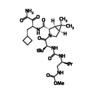 COC(=O)NC[C@@H](NC(=O)N[C@H](C(=O)N1C[C@H]2[C@@H]([C@H]1C(=O)NC(CC1CCC1)C(=O)C(N)=O)C2(C)C)C(C)(C)C)C(C)C